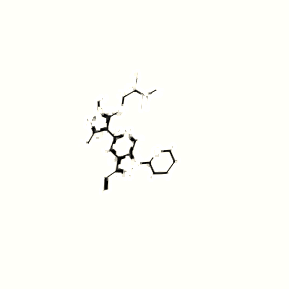 C=Cc1nn(C2CCCCO2)c2cnc(-c3c(C)nn(C)c3OC[C@@H](C)NC)cc12